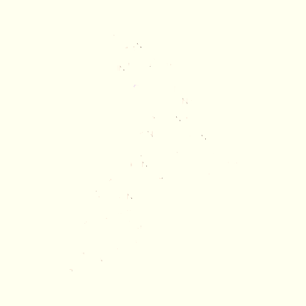 O=C1NC(=O)/C(=C\c2cnn3c(NC4CC4)cc(N4CCN(S(=O)(=O)c5ccc(F)cc5F)CC4)nc23)N1